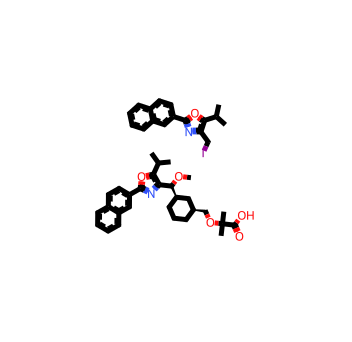 CC(C)c1oc(-c2ccc3ccccc3c2)nc1CI.COC(c1nc(-c2ccc3ccccc3c2)oc1C(C)C)[C@@H]1CCC[C@H](COC(C)(C)C(=O)O)C1